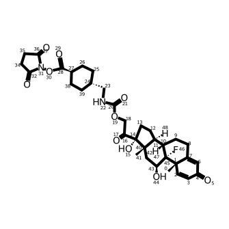 C[C@]12C=CC(=O)C=C1CC[C@H]1[C@@H]3CC[C@](O)(C(=O)COC(=O)NC[C@H]4CC[C@H](C(=O)ON5C(=O)CCC5=O)CC4)[C@@]3(C)C[C@H](O)[C@@]12F